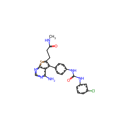 CNC(=O)CCc1sc2ncnc(N)c2c1-c1ccc(NC(=O)Nc2cccc(Cl)c2)cc1